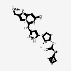 COCc1cn2c(Nc3cc([C@@H]4CC[C@H](OC(=O)NC56CC(C5)C6)[C@@H]4F)[nH]n3)nc(Cl)cc2n1